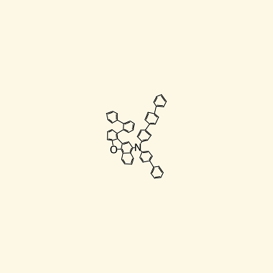 c1ccc(-c2ccc(-c3ccc(N(c4ccc(-c5ccccc5)cc4)c4cc5c(oc6cccc(-c7ccccc7-c7ccccc7)c65)c5ccccc45)cc3)cc2)cc1